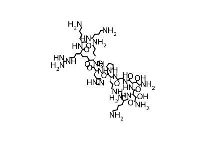 N=C(N)NCC/C=C(\CCC(=O)[C@H](CCCCN)NC(=O)[C@H](Cc1cnc[nH]1)NC(=O)[C@@H]1CCCN1C(=O)[C@@H](CCCN)NC(=O)CNC(=O)[C@@H](NC(=O)[C@@H](NC(=O)[C@H](N)CCCCN)[C@@H](O)CN)[C@@H](O)CN)C(=O)N[C@@H](CCCCN)C(=O)NCCCCN